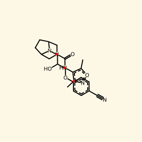 Cc1noc(C)c1NC(=O)N1CC2CCC(C1)N2CC(O)COc1ccc(C#N)cc1